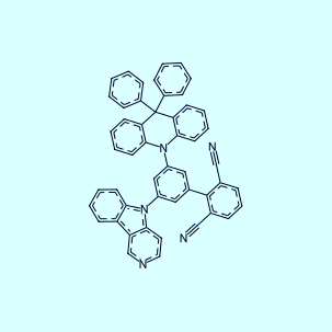 N#Cc1cccc(C#N)c1-c1cc(N2c3ccccc3C(c3ccccc3)(c3ccccc3)c3ccccc32)cc(-n2c3ccccc3c3cnccc32)c1